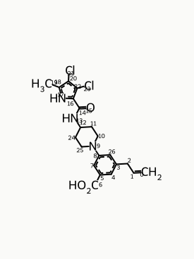 C=CCc1cc(C(=O)O)cc(N2CCC(NC(=O)c3[nH]c(C)c(Cl)c3Cl)CC2)c1